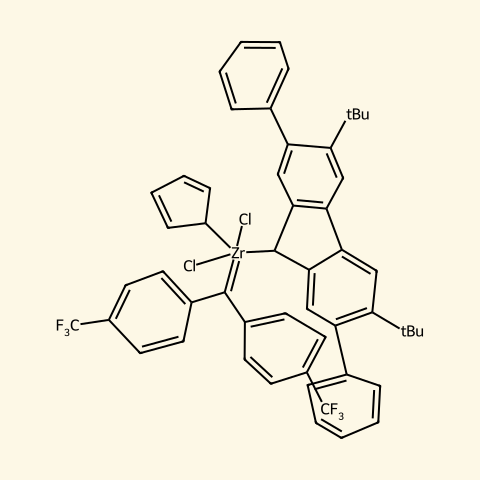 CC(C)(C)c1cc2c(cc1-c1ccccc1)[CH]([Zr]([Cl])([Cl])(=[C](c1ccc(C(F)(F)F)cc1)c1ccc(C(F)(F)F)cc1)[CH]1C=CC=C1)c1cc(-c3ccccc3)c(C(C)(C)C)cc1-2